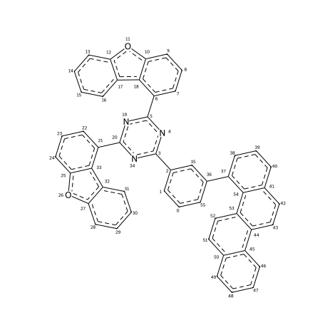 c1cc(-c2nc(-c3cccc4oc5ccccc5c34)nc(-c3cccc4oc5ccccc5c34)n2)cc(-c2cccc3ccc4c5ccccc5ccc4c23)c1